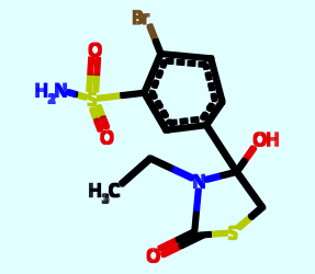 CCN1C(=O)SCC1(O)c1ccc(Br)c(S(N)(=O)=O)c1